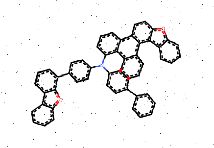 c1ccc(-c2ccc(N(c3ccc(-c4cccc5c4oc4ccccc45)cc3)c3cccc4c5ccc6oc7ccccc7c6c5c5ccccc5c34)cc2)cc1